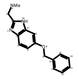 CNCc1nc2ccc(OCc3ccccc3)cc2[nH]1